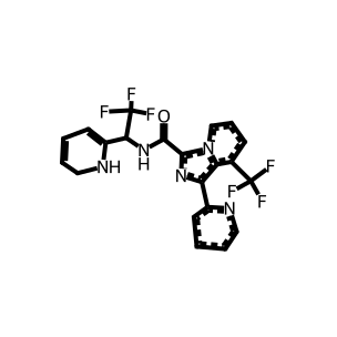 O=C(NC(C1=CC=CCN1)C(F)(F)F)c1nc(-c2ccccn2)c2c(C(F)(F)F)cccn12